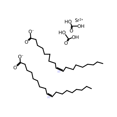 CCCCCCCC/C=C\CCCCCCCC(=O)[O-].CCCCCCCC/C=C\CCCCCCCC(=O)[O-].O=C(O)O.O=C(O)O.[Sr+2]